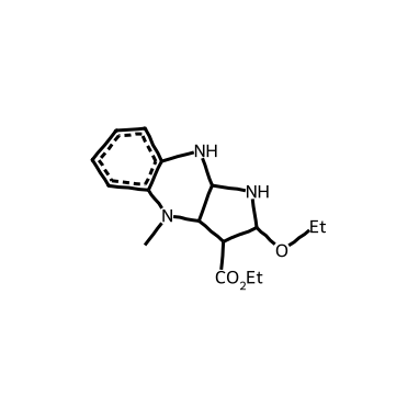 CCOC(=O)C1C(OCC)NC2Nc3ccccc3N(C)C21